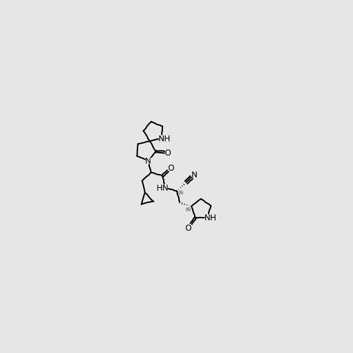 N#C[C@H](C[C@@H]1CCNC1=O)NC(=O)C(CC1CC1)N1CCC2(CCCN2)C1=O